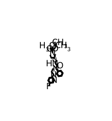 CC(C)(C)OC(=O)N1CC[C@H](CNC(=O)N2CCN(c3ccc(F)cn3)c3ccccc32)C1